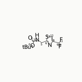 CC(C)(C)OC(=O)NCc1nc(C(F)F)cs1